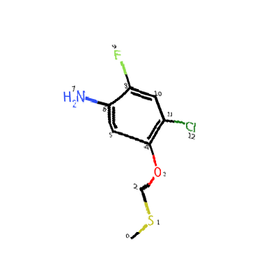 CSCOc1cc(N)c(F)cc1Cl